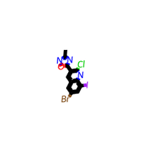 Cc1noc(-c2cc3cc(Br)cc(I)c3nc2Cl)n1